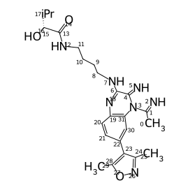 CC(=N)n1c(=N)c(NCCCCNC(=O)[C@H](O)C(C)C)nc2ccc(-c3c(C)noc3C)cc21